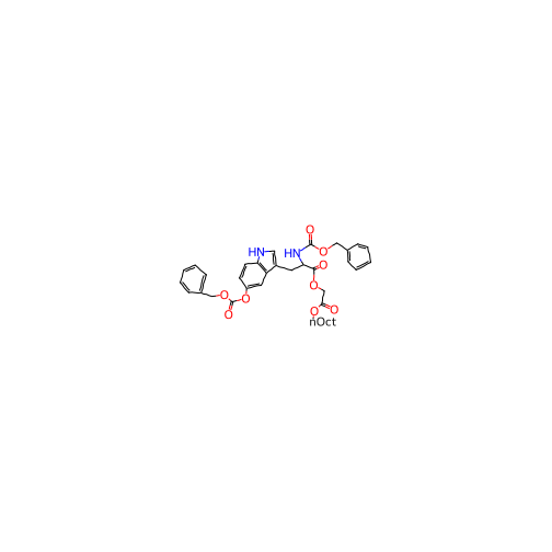 CCCCCCCCOC(=O)COC(=O)C(Cc1c[nH]c2ccc(OC(=O)OCc3ccccc3)cc12)NC(=O)OCc1ccccc1